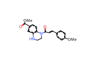 COC(=O)c1ccc2c(c1)NCCN2C(=O)C=Cc1ccc(OC)cc1